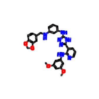 COc1cc(Nc2ncccc2-c2nnc(Nc3cccc(NCc4ccc5c(c4)OCO5)c3)[nH]2)cc(OC)c1